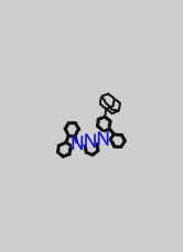 c1cc(-n2c3ccccc3c3ccccc32)nc(-n2c3ccccc3c3cc(C45CC6CC(CC(C6)C4)C5)ccc32)c1